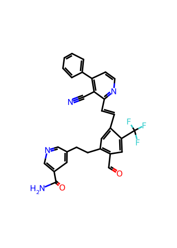 N#Cc1c(-c2ccccc2)ccnc1/C=C/c1cc(CCc2cncc(C(N)=O)c2)c(C=O)cc1C(F)(F)F